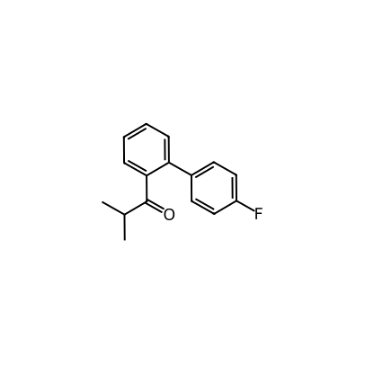 CC(C)C(=O)c1ccccc1-c1ccc(F)cc1